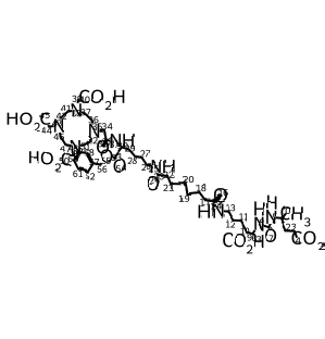 CC(CCC(=O)O)NC(=O)NC(CCCCNC(=O)CCCCCCC(=O)NCCCCC(NC(=O)CN1CCN(CC(=O)O)CCN(CC(=O)O)CCN(CC(=O)O)CC1)C(=O)OCc1ccccc1)C(=O)O